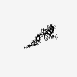 Cc1ccc2c(N)c(C(=O)NCCc3ccc(N4CCN(CCO)CC4)cc3)sc2n1